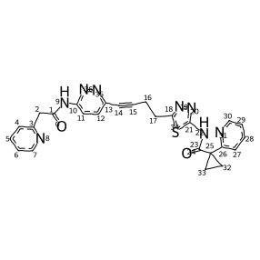 O=C(Cc1ccccn1)Nc1ccc(C#CCCc2nnc(NC(=O)C3(c4ccccn4)CC3)s2)nn1